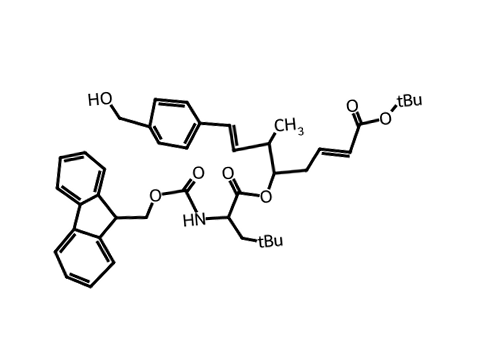 CC(/C=C/c1ccc(CO)cc1)C(C/C=C/C(=O)OC(C)(C)C)OC(=O)C(CC(C)(C)C)NC(=O)OCC1c2ccccc2-c2ccccc21